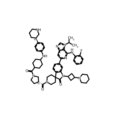 CC(C)n1cnc2cc(-c3ccc4c(c3)N(C3CC(N5CCCCC5)C3)C(=O)C43CCN(C(=O)[C@@H]4CCN(C(=O)C5CCC(Nc6ccc([C@H]7CCCNC7)cc6)CC5)C4)CC3)nc(Nc3ccccc3F)c21